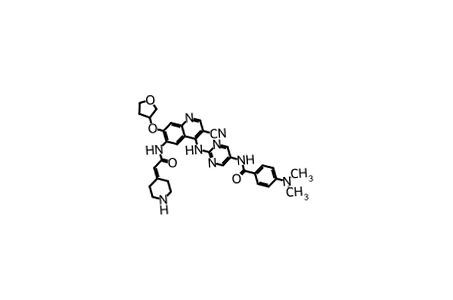 CN(C)c1ccc(C(=O)Nc2cnc(Nc3c(C#N)cnc4cc(OC5CCOC5)c(NC(=O)C=C5CCNCC5)cc34)nc2)cc1